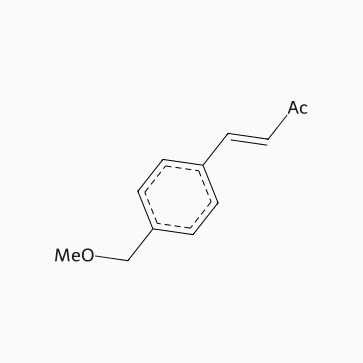 COCc1ccc(C=CC(C)=O)cc1